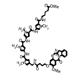 COC(=O)CCCCNC(=O)c1cc(NC(=O)c2cc(NC(=O)c3cc(NC(=O)c4cc(CNC(=O)CCCOc5cc6c(cc5OC)C(=O)N5c7ccccc7C[C@H]5C=N6)cn4C)cn3C)cn2C)cn1C